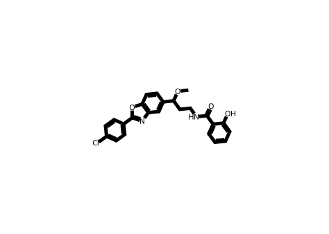 COC(CCNC(=O)c1ccccc1O)c1ccc2oc(-c3ccc(Cl)cc3)nc2c1